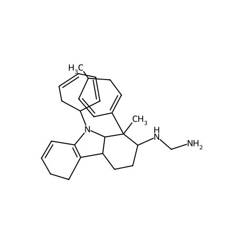 CC1C=CC(C2(C)C(NCN)CCC3C4=C(C=CCC4)N(C4C=CC=CC4)C32)=CC1